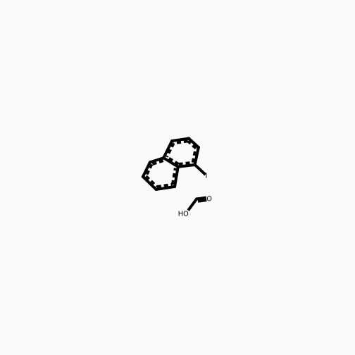 Ic1cccc2ccccc12.O=CO